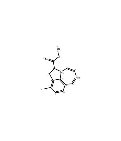 CC(C)(C)OC(=O)C1Cc2c(F)ccc3c2N1C=CN=C3